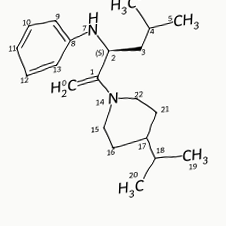 C=C([C@H](CC(C)C)Nc1ccccc1)N1CCC(C(C)C)CC1